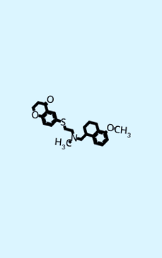 COc1cccc2c1CCCC2CN(C)CCSc1ccc2c(c1)C(=O)CCO2